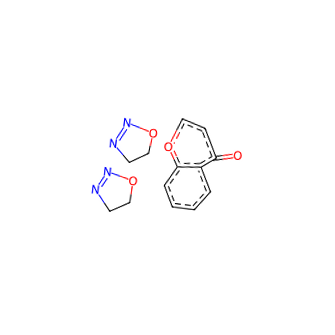 C1CON=N1.C1CON=N1.O=c1ccoc2ccccc12